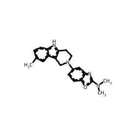 Cc1ccc2[nH]c3c(c2c1)CN(c1ccc2oc(N(C)C)nc2c1)CC3